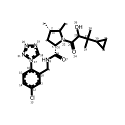 CC1[C@@H](C)C[C@@H](C(=O)NCc2cc(Cl)ccc2-n2cnnn2)N1C(=O)C(O)C(C)(C)C1CC1